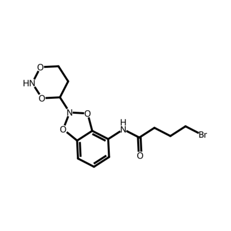 O=C(CCCBr)Nc1cccc2c1ON(C1CCONO1)O2